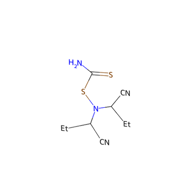 CCC(C#N)N(SC(N)=S)C(C#N)CC